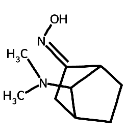 CN(C)C1C2CCC1C(=NO)C2